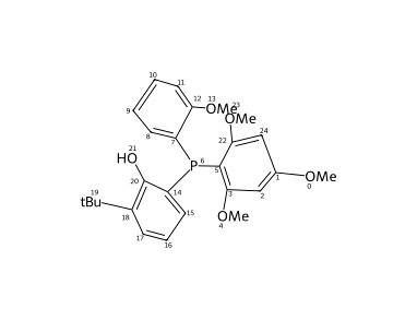 COc1cc(OC)c(P(c2ccccc2OC)c2cccc(C(C)(C)C)c2O)c(OC)c1